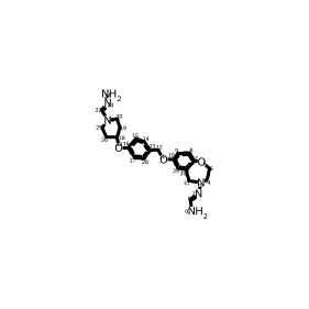 NC=NN1CCOc2ccc(OCc3ccc(OC4CCN(C=NN)CC4)cc3)cc2C1